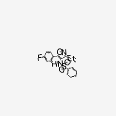 CCc1noc(-c2ccc(F)cc2)c1NS(=O)(=O)c1ccccc1